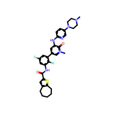 CN1CCN(c2ccc(Nc3cc(-c4cc(F)cc(NC(=O)c5cc6c(s5)CCCCC6)c4F)cn(C)c3=O)nc2)CC1